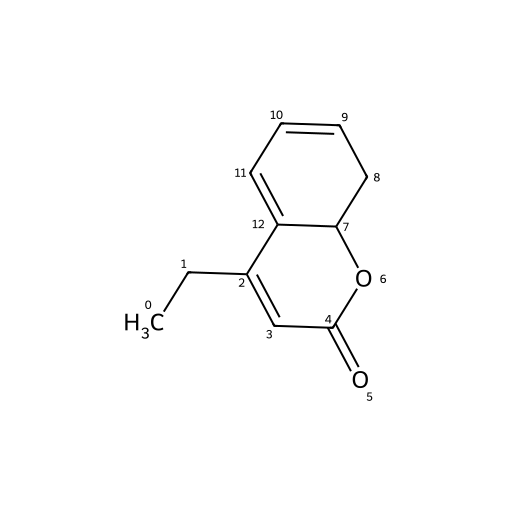 CCC1=CC(=O)OC2CC=CC=C12